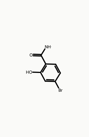 [NH]C(=O)c1ccc(Br)cc1O